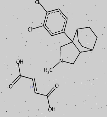 CN1CC2C3CCC(CC3)C2(c2ccc(Cl)c(Cl)c2)C1.O=C(O)/C=C/C(=O)O